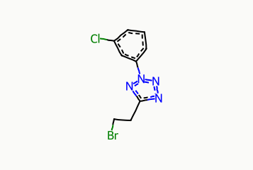 Clc1cccc(-n2nnc(CCBr)n2)c1